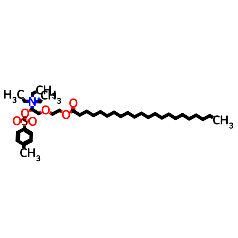 CCCCCCCCCCCCCCCCCCCCCC(=O)OCCOCC(OS(=O)(=O)c1ccc(C)cc1)[N+](CC)(CC)CC